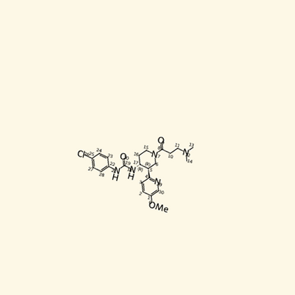 COc1ccc([C@@H]2CN(C(=O)CCN(C)C)CC[C@H]2NC(=O)Nc2ccc(Cl)cc2)nc1